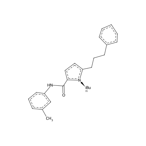 CC[C@H](C)n1c(CCCc2ccccc2)ccc1C(=O)Nc1cccc(C)c1